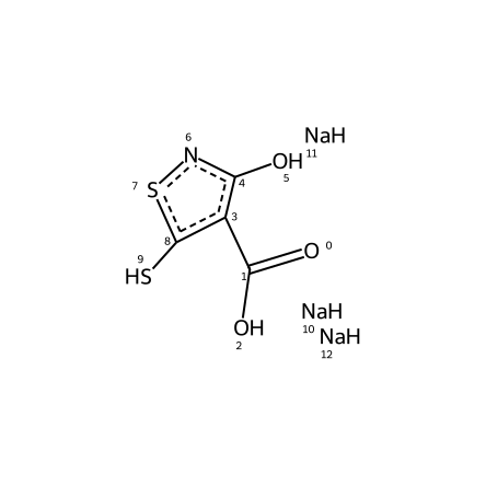 O=C(O)c1c(O)nsc1S.[NaH].[NaH].[NaH]